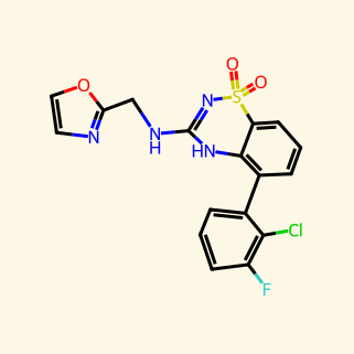 O=S1(=O)N=C(NCc2ncco2)Nc2c(-c3cccc(F)c3Cl)cccc21